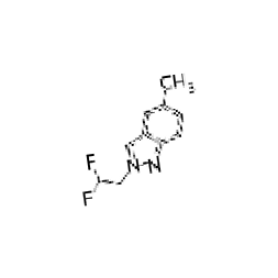 Cc1ccc2nn(CC(F)F)cc2c1